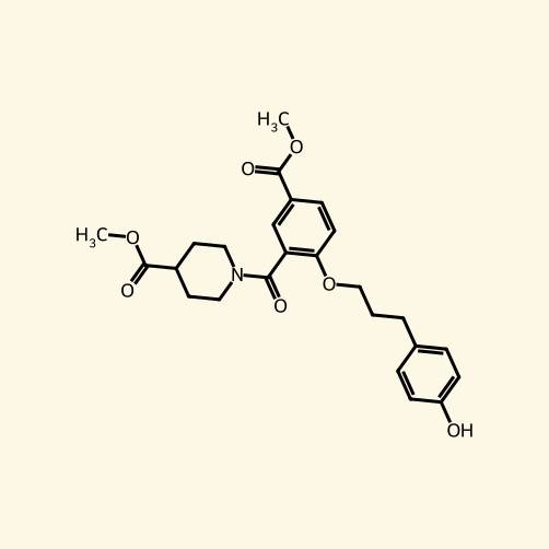 COC(=O)c1ccc(OCCCc2ccc(O)cc2)c(C(=O)N2CCC(C(=O)OC)CC2)c1